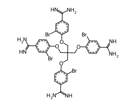 N=C(N)c1ccc(OCC(COc2ccc(C(=N)N)cc2Br)(COc2ccc(C(=N)N)cc2Br)COc2ccc(C(=N)N)cc2Br)c(Br)c1